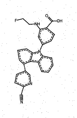 N#Cc1ccc(-c2cccc3c2c2ccccc2n3-c2ccc(C(=O)O)c(NCCF)c2)cn1